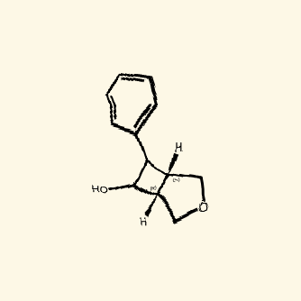 OC1C(c2ccccc2)[C@@H]2COC[C@H]12